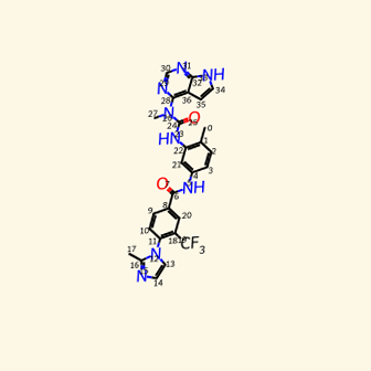 Cc1ccc(NC(=O)c2ccc(-n3ccnc3C)c(C(F)(F)F)c2)cc1NC(=O)N(C)c1ncnc2[nH]ccc12